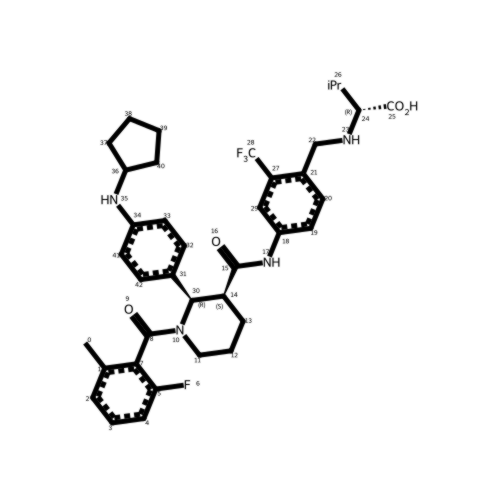 Cc1cccc(F)c1C(=O)N1CCC[C@H](C(=O)Nc2ccc(CN[C@@H](C(=O)O)C(C)C)c(C(F)(F)F)c2)[C@@H]1c1ccc(NC2CCCC2)cc1